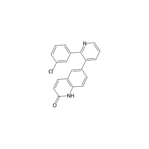 O=c1ccc2cc(-c3cccnc3-c3cccc(Cl)c3)ccc2[nH]1